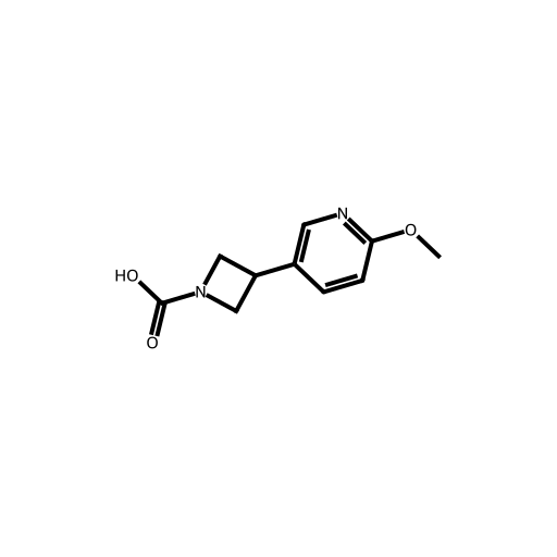 COc1ccc(C2CN(C(=O)O)C2)cn1